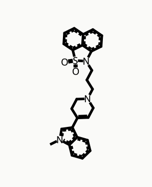 Cn1cc(C2=CCN(CCCN3c4cccc5cccc(c45)S3(=O)=O)CC2)c2ccccc21